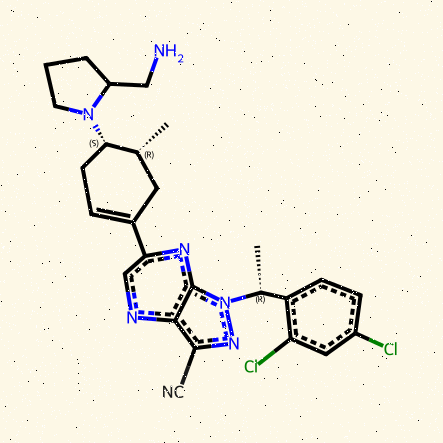 C[C@@H]1CC(c2cnc3c(C#N)nn([C@H](C)c4ccc(Cl)cc4Cl)c3n2)=CC[C@@H]1N1CCCC1CN